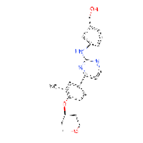 N#Cc1cc(-c2ccnc(Nc3cccc(CO)c3)n2)ccc1OC1CCOCC1